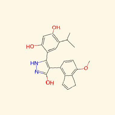 COc1ccc(-c2c(O)n[nH]c2-c2cc(C(C)C)c(O)cc2O)c2c1CC=C2